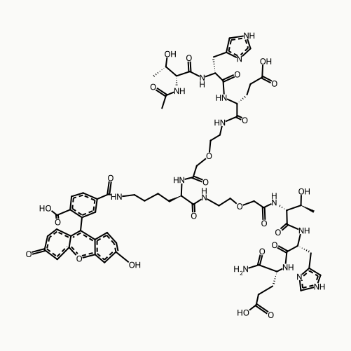 CC(=O)N[C@@H](C(=O)N[C@H](Cc1c[nH]cn1)C(=O)N[C@H](CCC(=O)O)C(=O)NCCOCC(=O)N[C@H](CCCCNC(=O)c1ccc(C(=O)O)c(-c2c3ccc(=O)cc-3oc3cc(O)ccc23)c1)C(=O)NCCOCC(=O)N[C@@H](C(=O)N[C@H](Cc1c[nH]cn1)C(=O)N[C@H](CCC(=O)O)C(N)=O)[C@H](C)O)[C@H](C)O